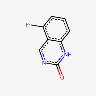 CC(C)c1cccc2[nH]c(=O)ncc12